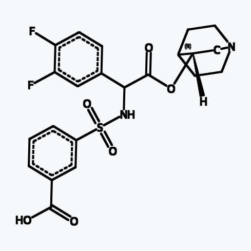 O=C(O)c1cccc(S(=O)(=O)NC(C(=O)O[C@H]2CN3CCC2CC3)c2ccc(F)c(F)c2)c1